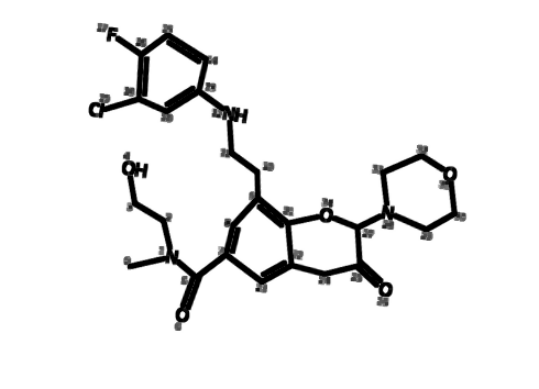 CN(CCO)C(=O)c1cc(CCNc2ccc(F)c(Cl)c2)c2c(c1)CC(=O)C(N1CCOCC1)O2